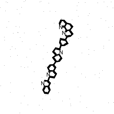 c1ccc2ncc(-c3ccc4cc(-c5ccc6nc(-c7ccc(-c8ccc9ccc%10cccnc%10c9n8)cc7)ccc6c5)ccc4n3)cc2c1